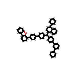 c1ccc(-c2cccc(-c3ccc(C(c4ccc(-c5ccc(-c6cccc7c6oc6ccccc67)cc5)cc4)c4ccc(-c5ccccc5)c5ccccc45)cc3)c2)cc1